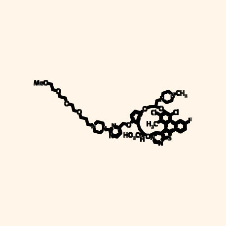 COCCOCCOCCOCCCN1CCN(c2nccc(COc3ccc4cc3C[C@H](C(=O)O)Oc3ncnc5sc6c7ccc(F)cc7c7c(Cl)c(c(Cl)c(C)c7c6c35)OC(CN3CCN(C)CC3)CO4)n2)CC1